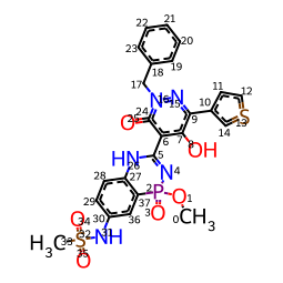 COP1(=O)N=C(c2c(O)c(-c3ccsc3)nn(Cc3ccccc3)c2=O)Nc2ccc(NS(C)(=O)=O)cc21